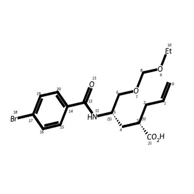 C=CC[C@@H](C[C@@H](COCOCC)NC(=O)c1ccc(Br)cc1)C(=O)O